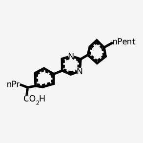 CCCCCc1ccc(-c2ncc(-c3ccc(C(CCC)C(=O)O)cc3)cn2)cc1